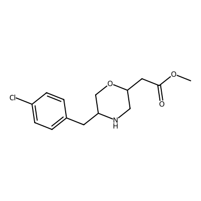 COC(=O)CC1CNC(Cc2ccc(Cl)cc2)CO1